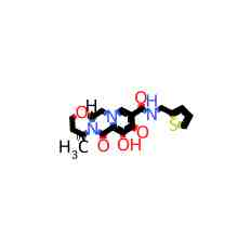 C[C@@H]1CCO[C@H]2Cn3cc(C(=O)NCc4cccs4)c(=O)c(O)c3C(=O)N12